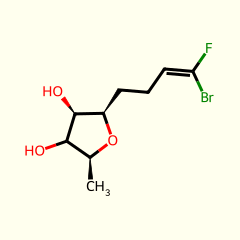 C[C@@H]1O[C@H](CCC=C(F)Br)[C@H](O)C1O